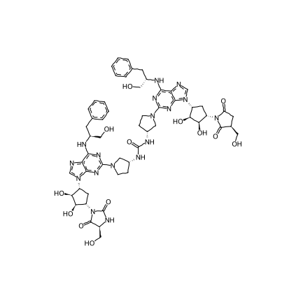 O=C(N[C@@H]1CCN(c2nc(N[C@H](CO)Cc3ccccc3)c3ncn([C@@H]4C[C@H](N5C(=O)C[C@@H](CO)C5=O)[C@@H](O)[C@H]4O)c3n2)C1)N[C@@H]1CCN(c2nc(N[C@H](CO)Cc3ccccc3)c3ncn([C@@H]4C[C@H](N5C(=O)N[C@@H](CO)C5=O)[C@@H](O)[C@H]4O)c3n2)C1